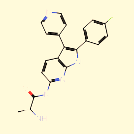 C[C@H](N)C(=O)Nc1ccc2c(-c3ccncc3)c(-c3ccc(F)cc3)[nH]c2n1